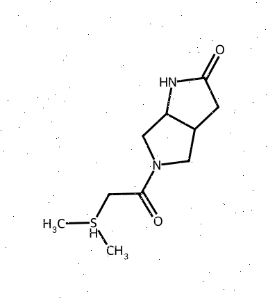 C[SH](C)CC(=O)N1CC2CC(=O)NC2C1